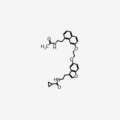 CC(=O)NCCc1cccc2ccc(OCCOc3ccc4occ(CCNC(=O)C5CC5)c4c3)cc12